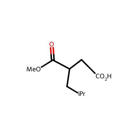 COC(=O)C(CC(=O)O)CC(C)C